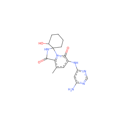 Cc1cc(Nc2cc(N)ncn2)c(=O)n2c1C(=O)NC21CCCCC1O